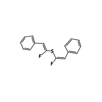 FC(=Cc1ccccc1)SC(F)=Cc1ccccc1